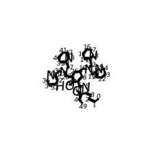 C\C=C/C=c1/nc(-c2cc(CN(Cc3ccccn3)Cc3ccccn3)cc(CN(Cc3ccccn3)Cc3ccccn3)c2O)o/c1=C/C